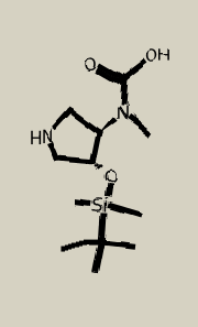 CN(C(=O)O)[C@@H]1CNC[C@H]1O[Si](C)(C)C(C)(C)C